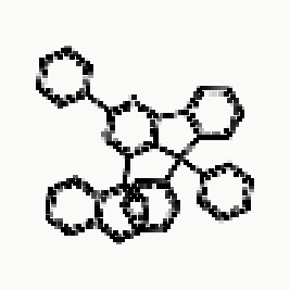 c1ccc(-c2nc3c(c(-c4cccc5ccccc45)n2)C(c2ccccc2)(c2ccccc2)c2ccccc2-3)cc1